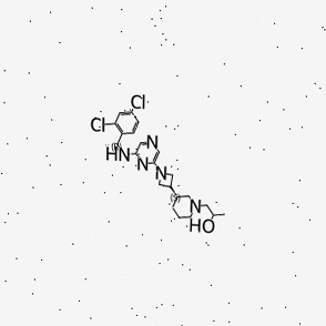 CC(O)CN1CCC[C@@H](C2CN(c3cncc(N[C@H](C)c4ccc(Cl)cc4Cl)n3)C2)C1